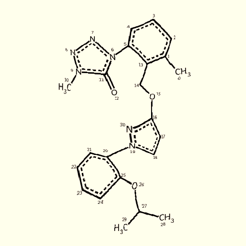 Cc1cccc(-n2nnn(C)c2=O)c1COc1ccn(-c2ccccc2OC(C)C)n1